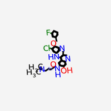 CN(C)C/C=C/C(=O)Nc1cc2c(Nc3ccc(OCc4cccc(F)c4)c(Cl)c3)c(C#N)cnc2cc1O